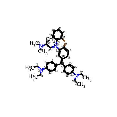 CCN(CC)c1ccc(C(=C2C=C3C(=CC2)Sc2ccccc2N3CC(C)N(C)C)c2ccc(N(CC)CC)cc2)cc1